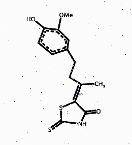 COc1cc(CC/C(C)=C2\SC(=S)NC2=O)ccc1O